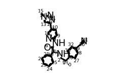 C[C@H](CN[C@H](C(=O)Nc1ccc(-c2cn(C)nn2)cn1)c1ccccc1)c1ccc(C#N)cc1